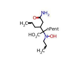 C=CCC(CC(N)=O)C(CCCCC)(C(=O)O)N(O)CC=C